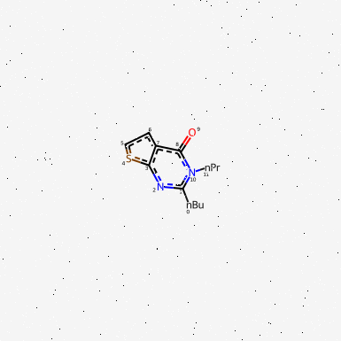 CCCCc1nc2sccc2c(=O)n1CCC